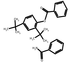 CC(C)(C)c1ccc(OC(=O)c2ccccc2)c(C(C)(C)C)c1.NC(=O)c1ccccc1